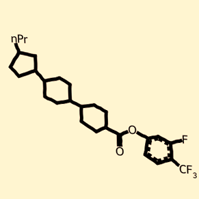 CCCC1CCC(C2CCC(C3CCC(C(=O)Oc4ccc(C(F)(F)F)c(F)c4)CC3)CC2)C1